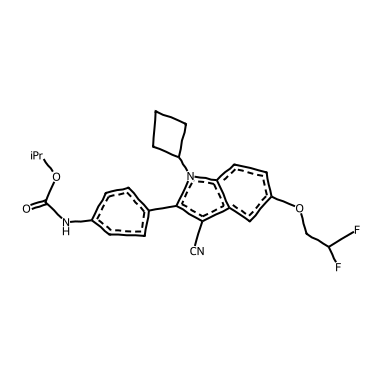 CC(C)OC(=O)Nc1ccc(-c2c(C#N)c3cc(OCC(F)F)ccc3n2C2CCC2)cc1